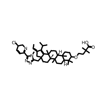 CC=C1CC2(Cc3nnc(C4=NCC(Cl)C=C4)n3C)CC[C@]3(C)C(C)(CC[C@@H]4C5(C)CCC(OCCC(C)(C)C(=O)O)C(C)(C)[C@@H]5CCC43C)C2=C1C(C)C